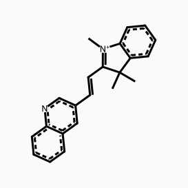 C[N+]1=C(/C=C/c2cnc3ccccc3c2)C(C)(C)c2ccccc21